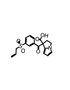 C=CCS(=O)(=O)c1cccc(C(=O)C2(C(=O)O)CCn3cccc32)c1